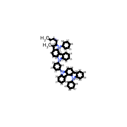 C=C/C=C\c1c(C)c2ccc3c(c4ccccc4n3-c3cccc(-n4c5ccccc5c5c4ccc4c6ccccc6n(-c6ccccc6)c45)c3)c2n1-c1ccccc1